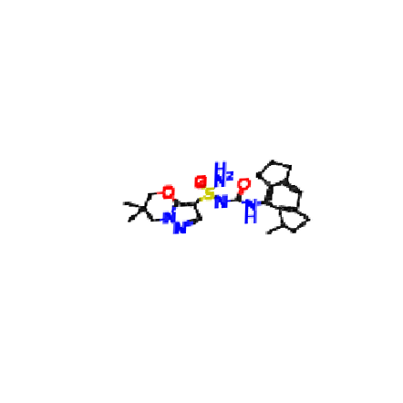 CC1CCc2cc3c(c(NC(=O)N=S(N)(=O)c4cnn5c4OCC(C)(C)C5)c21)CCC3